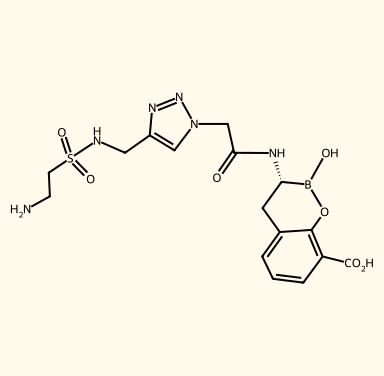 NCCS(=O)(=O)NCc1cn(CC(=O)N[C@H]2Cc3cccc(C(=O)O)c3OB2O)nn1